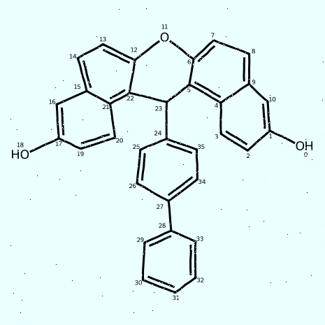 Oc1ccc2c3c(ccc2c1)Oc1ccc2cc(O)ccc2c1C3c1ccc(-c2ccccc2)cc1